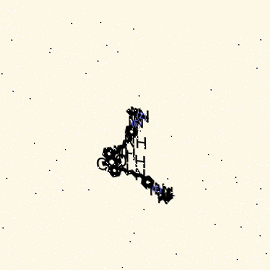 C=CN(C)C(=N/C)/N=N/c1ccc(NCCCNc2cccc3c2C(=O)c2c(NCCCNc4ccc(/N=N/c5n(C)cc[n+]5C)cc4)cccc2C3=O)cc1